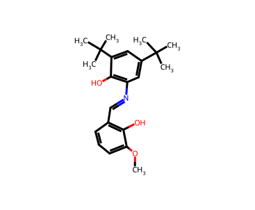 COc1cccc(/C=N/c2cc(C(C)(C)C)cc(C(C)(C)C)c2O)c1O